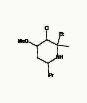 CCC1(C)NC(C(C)C)CC(OC)C1Cl